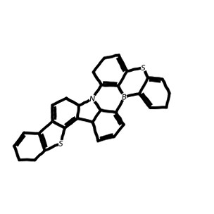 C1=CC2C3=c4sc5c(c4=CCC3N3C4=C6B(C7=CCCC=C7SC6=CCC4)C(=C1)C23)C=CCC5